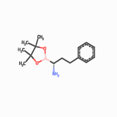 CC1(C)OB([C@@H](N)CCc2ccccc2)OC1(C)C